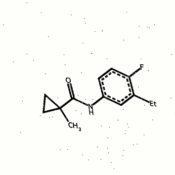 CCc1cc(NC(=O)C2(C)CC2)ccc1F